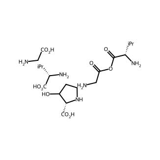 CC(C)[C@H](N)C(=O)O.CC(C)[C@H](N)C(=O)OC(=O)CN.NCC(=O)O.O=C(O)[C@H]1NCCC1O